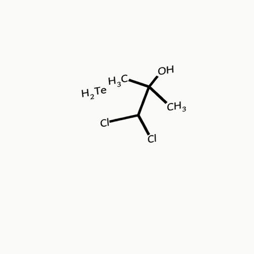 CC(C)(O)C(Cl)Cl.[TeH2]